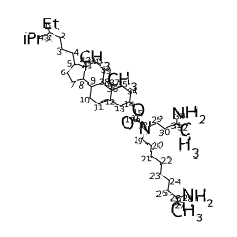 CCC(CCCC1CCC2C3CC=C4CC(OC(=O)N(CCCCCCCC(C)N)CCC(C)N)CCC4(C)C3CCC12C)C(C)C